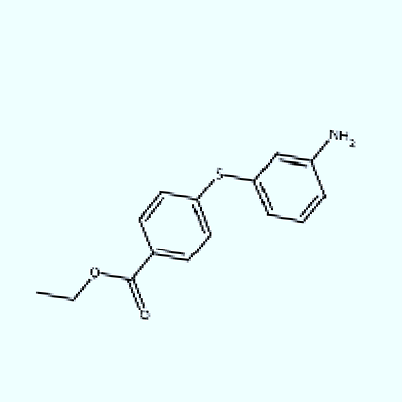 CCOC(=O)c1ccc(Sc2cccc(N)c2)cc1